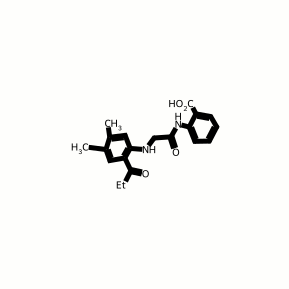 CCC(=O)c1cc(C)c(C)cc1NCC(=O)Nc1ccccc1C(=O)O